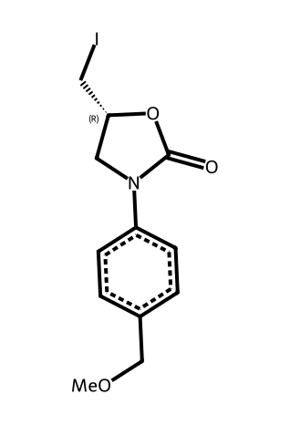 COCc1ccc(N2C[C@H](CI)OC2=O)cc1